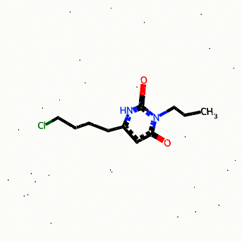 CCCn1c(=O)cc(CCCCCl)[nH]c1=O